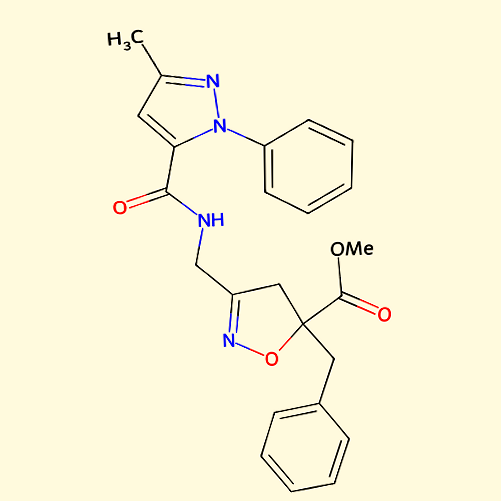 COC(=O)C1(Cc2ccccc2)CC(CNC(=O)c2cc(C)nn2-c2ccccc2)=NO1